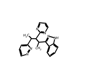 CC(c1cccnn1)C(c1ncccn1)C(C)c1n[nH]c2ccccc12